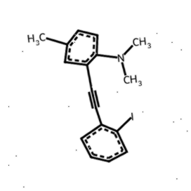 Cc1ccc(N(C)C)c(C#Cc2ccccc2I)c1